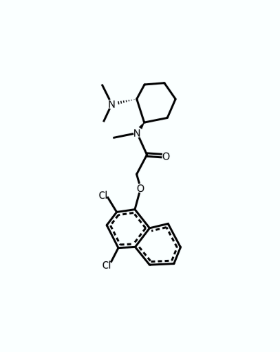 CN(C)[C@@H]1CCCC[C@H]1N(C)C(=O)COc1c(Cl)cc(Cl)c2ccccc12